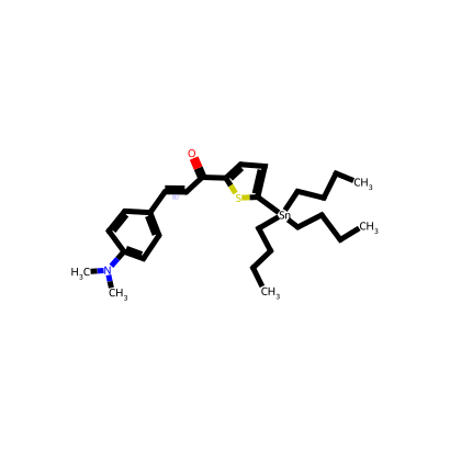 CCC[CH2][Sn]([CH2]CCC)([CH2]CCC)[c]1ccc(C(=O)/C=C/c2ccc(N(C)C)cc2)s1